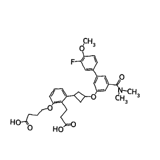 COc1ccc(-c2cc(OC3CC(c4cccc(OCCCC(=O)O)c4CCC(=O)O)C3)cc(C(=O)N(C)C)c2)cc1F